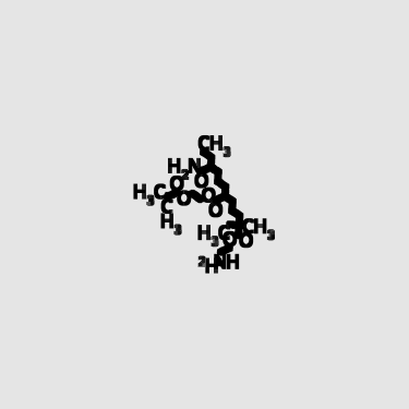 [2H]NCCOC(=O)C(C)(CC)CCCC(CCCC(CCC)C(N)=O)C(=O)OCCOC(=O)C(C)C